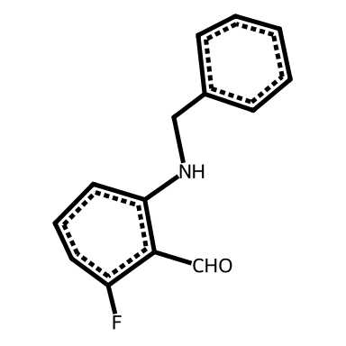 O=Cc1c(F)cccc1NCc1ccccc1